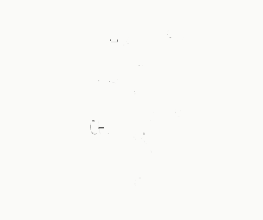 C/C=C\C1C(C(=O)OCC)C1(C)CC